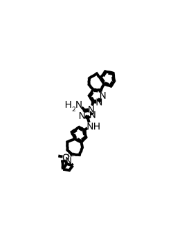 COC1C2CC1N([C@@H]1CCc3ccc(Nc4nc(N)n(-c5cc6c(nn5)-c5ccccc5CCC6)n4)cc3CC1)C2